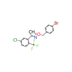 C/C(=N\OCc1ccc(Br)cc1)c1cc(Cl)ccc1C(F)(F)F